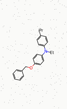 CCN(c1ccc(OCc2ccccc2)cc1)c1ccc(C(C)C)cc1